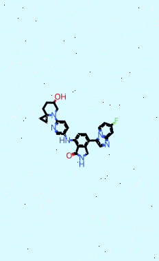 O=C1NCc2c(-c3cnc4cc(F)ccn34)ccc(Nc3ccc(N4CC(O)CCC45CC5)nc3)c21